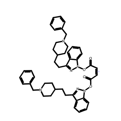 O=C(/C=C\C(=O)On1nc(CCC2CCN(Cc3ccccc3)CC2)c2ccccc21)On1nc(CCC2CCN(Cc3ccccc3)CC2)c2ccccc21